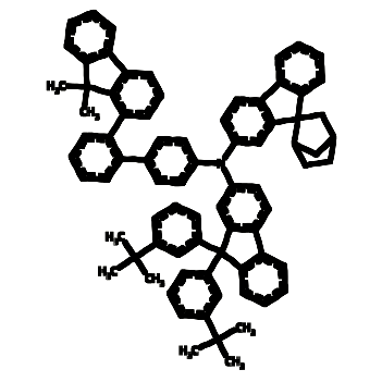 CC(C)(C)c1cccc(C2(c3cccc(C(C)(C)C)c3)c3ccccc3-c3ccc(N(c4ccc(-c5ccccc5-c5cccc6c5C(C)(C)c5ccccc5-6)cc4)c4ccc5c(c4)C4(CC6CCC4C6)c4ccccc4-5)cc32)c1